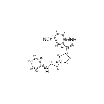 N#Cc1ccc2[nH]cc(C3CCN(CCNc4ccccc4)C3)c2c1